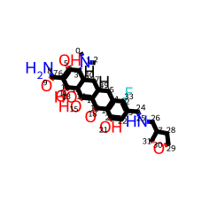 CN(C)[C@@H]1C(O)=C(C(N)=O)C(=O)[C@@]2(O)C(O)=C3C(=O)c4c(O)cc(CNCC5CCOC5)c(F)c4C[C@H]3C[C@@H]12